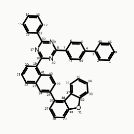 c1ccc(-c2ccc(-c3nc(-c4ccccc4)nc(-c4cccc5cc(-c6cccc7oc8ccccc8c67)ccc45)n3)cc2)cc1